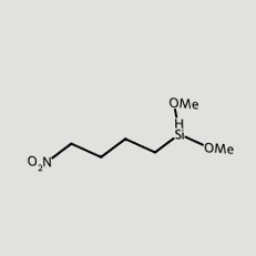 CO[SiH](CCCC[N+](=O)[O-])OC